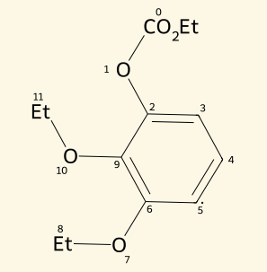 CCOC(=O)Oc1cc[c]c(OCC)c1OCC